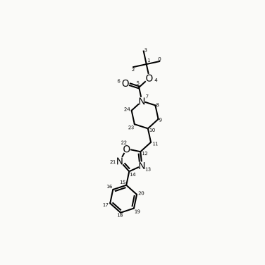 CC(C)(C)OC(=O)N1CCC(Cc2nc(-c3ccccc3)no2)CC1